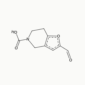 O=Cc1cc2c(o1)CCN(C(=O)O)C2